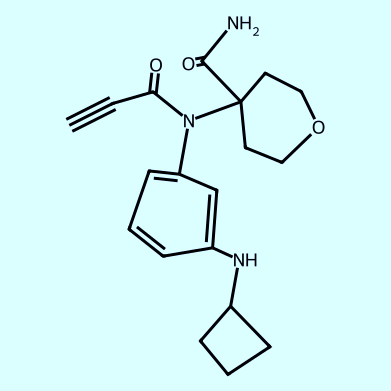 C#CC(=O)N(c1cccc(NC2CCC2)c1)C1(C(N)=O)CCOCC1